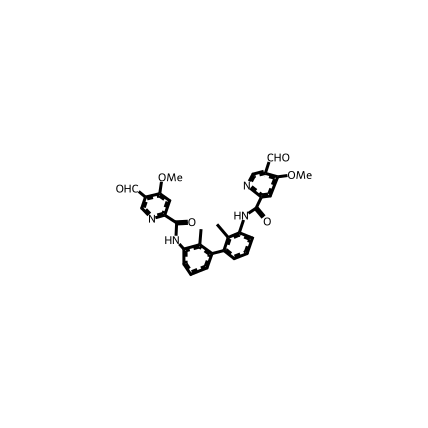 COc1cc(C(=O)Nc2cccc(-c3cccc(NC(=O)c4cc(OC)c(C=O)cn4)c3C)c2C)ncc1C=O